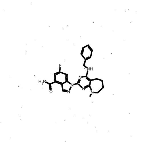 CN1CCCCc2c(NCc3ccccc3)nc(-n3ncc4c(C(N)=O)cc(F)cc43)nc21